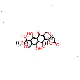 CC1OC2CC(O)C1(O)c1c(O)c3c(c(O)c12)C(=O)C1=C(CO[C@H]2CC(=O)O[C@@H]12)C3=O